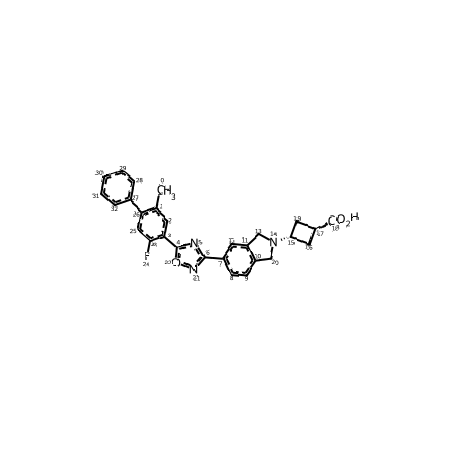 Cc1cc(-c2nc(-c3ccc4c(c3)CN([C@H]3C[C@H](C(=O)O)C3)C4)no2)c(F)cc1-c1ccccc1